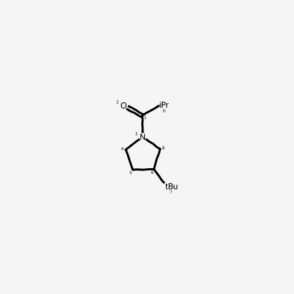 CC(C)C(=O)N1CCC(C(C)(C)C)C1